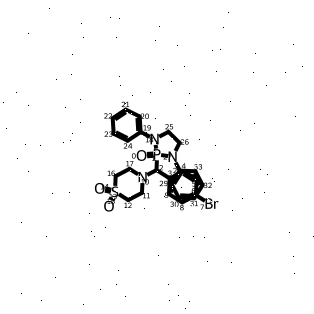 O=P1(C(c2ccc(Br)cc2)N2CCS(=O)(=O)CC2)N(c2ccccc2)CCN1c1ccccc1